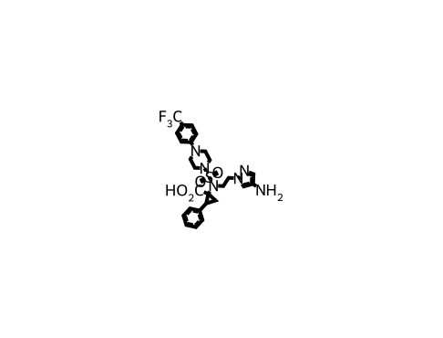 Nc1cnn(CCN(C2(C(=O)O)CC2c2ccccc2)S(=O)(=O)N2CCN(c3ccc(C(F)(F)F)cc3)CC2)c1